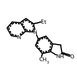 CCc1cc2cccnc2n1-c1cc(C)c2c(c1)CC(=O)N2